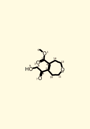 COC(=O)C1=C(C(=O)CO)CCOCC1